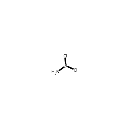 BB(Cl)Cl